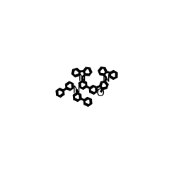 c1ccc(-c2cccc(N(c3cccc(-c4ccccc4)c3)c3cc(-c4ccc5oc6ccc(-n7c8ccccc8c8ccccc87)cc6c5c4)cc(-n4c5ccccc5c5ccccc54)c3)c2)cc1